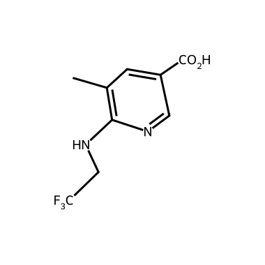 Cc1cc(C(=O)O)cnc1NCC(F)(F)F